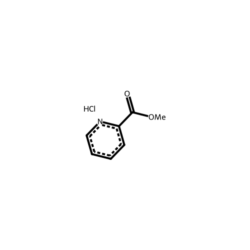 COC(=O)c1ccccn1.Cl